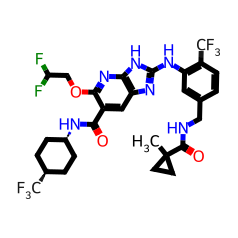 CC1(C(=O)NCc2ccc(C(F)(F)F)c(Nc3nc4cc(C(=O)N[C@H]5CC[C@H](C(F)(F)F)CC5)c(OCC(F)F)nc4[nH]3)c2)CC1